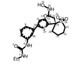 CCNC(=O)Nc1cccc(-c2ccc([C@@]3(CC(=O)NO)CCCCS3(=O)=O)s2)c1